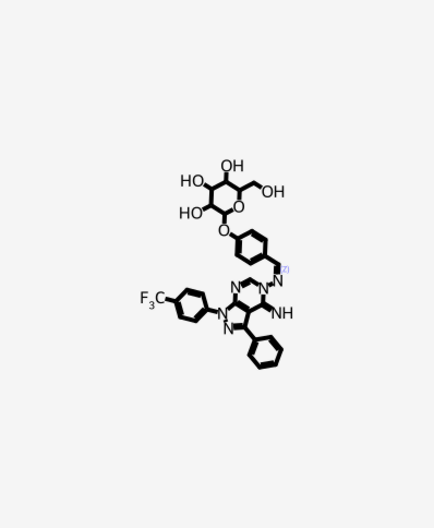 N=c1c2c(-c3ccccc3)nn(-c3ccc(C(F)(F)F)cc3)c2ncn1/N=C\c1ccc(OC2OC(CO)C(O)C(O)C2O)cc1